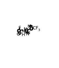 Fc1ccc2c(c1CNc1ncc(-c3ccc(C(F)(F)F)n4ccnc34)c3nncn13)CCO2